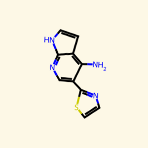 Nc1c(-c2nccs2)cnc2[nH]ccc12